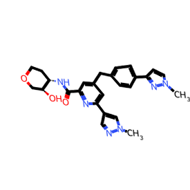 Cn1cc(-c2cc(Cc3ccc(-c4ccn(C)n4)cc3)cc(C(=O)N[C@H]3CCOC[C@@H]3O)n2)cn1